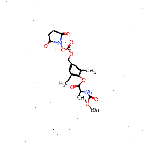 Cc1cc(COC(=O)ON2C(=O)CCC2=O)cc(C)c1OC(=O)C(C)NC(=O)OC(C)(C)C